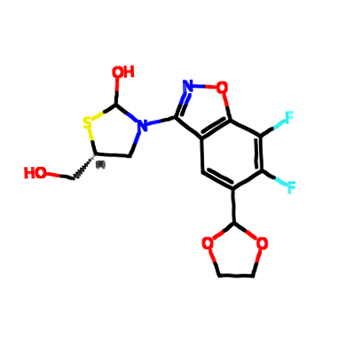 OC[C@H]1CN(c2noc3c(F)c(F)c(C4OCCO4)cc23)C(O)S1